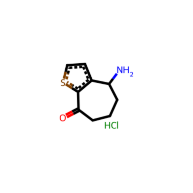 Cl.NC1CCCC(=O)c2sccc21